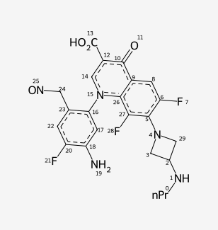 CCCNC1CN(c2c(F)cc3c(=O)c(C(=O)O)cn(-c4cc(N)c(F)cc4CN=O)c3c2F)C1